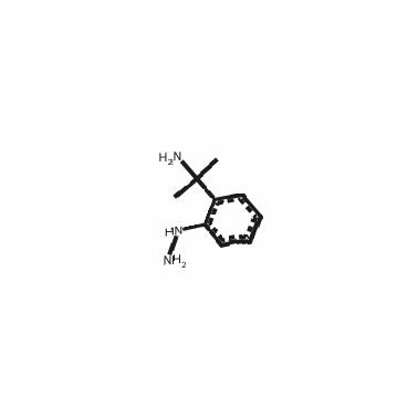 CC(C)(N)c1ccccc1NN